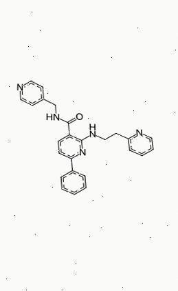 O=C(NCc1ccncc1)c1ccc(-c2ccccc2)nc1NCCc1ccccn1